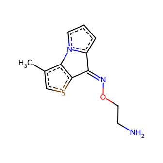 Cc1csc2c1-n1cccc1/C2=N/OCCN